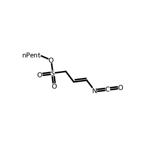 CCCCCOS(=O)(=O)CC=CN=C=O